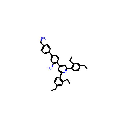 CCc1ccc(-c2cc(-c3ccc(-c4ccc(CN)cc4)cc3N)cc(-c3ccc(CC)cc3CC)n2)c(CC)c1